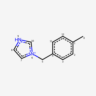 Cc1ccc(C[n+]2cc[nH]c2)cc1